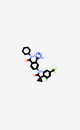 O=C(NC1CCCCC1)c1ccc(NC(=O)C2(c3ccc(C(F)(F)F)cc3F)CC2)cc1-c1nnn[nH]1